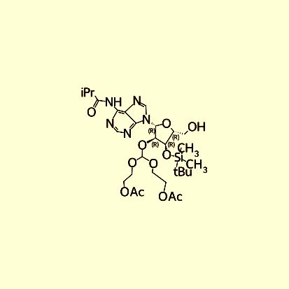 CC(=O)OCCOC(OCCOC(C)=O)O[C@@H]1[C@H](O[Si](C)(C)C(C)(C)C)[C@@H](CO)O[C@H]1n1cnc2c(NC(=O)C(C)C)ncnc21